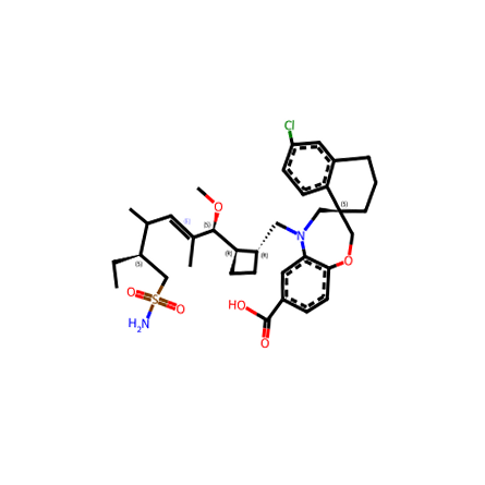 CC[C@H](CS(N)(=O)=O)C(C)/C=C(\C)[C@@H](OC)[C@@H]1CC[C@H]1CN1C[C@@]2(CCCc3cc(Cl)ccc32)COc2ccc(C(=O)O)cc21